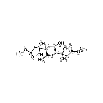 COC(=O)CC(C)(C)c1cc(O)c(C(C)(C)CC(=O)OC)cc1O